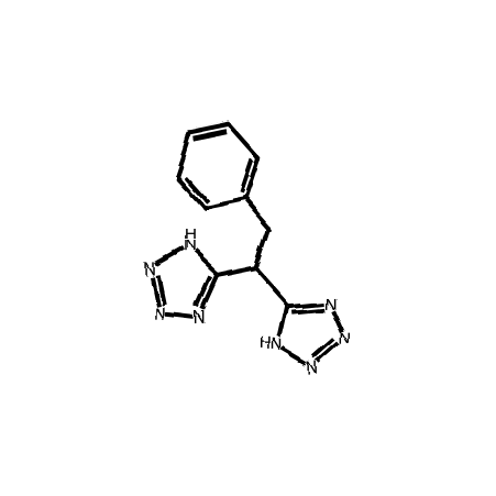 c1ccc(CC(c2nnn[nH]2)c2nnn[nH]2)cc1